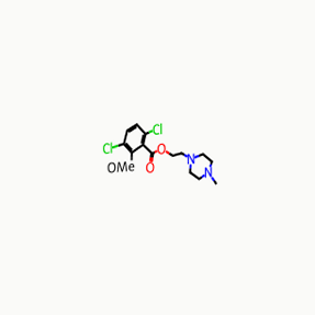 COc1c(Cl)ccc(Cl)c1C(=O)OCCN1CCN(C)CC1